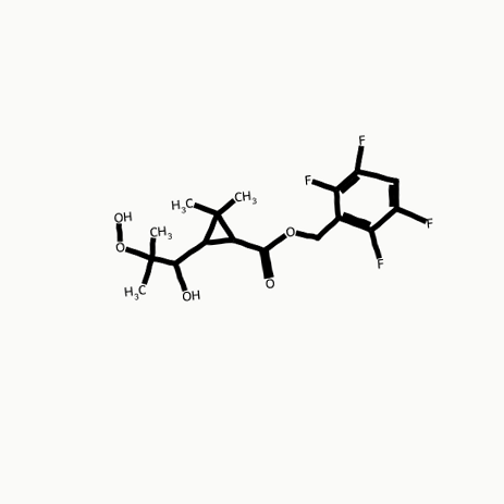 CC(C)(OO)C(O)C1C(C(=O)OCc2c(F)c(F)cc(F)c2F)C1(C)C